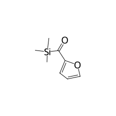 C[Si](C)(C)C(=O)c1ccco1